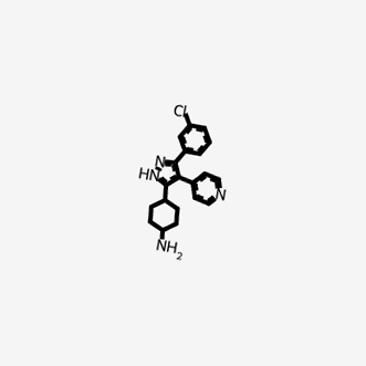 NC1CCC(c2[nH]nc(-c3cccc(Cl)c3)c2-c2ccncc2)CC1